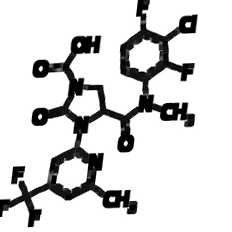 Cc1cc(C(F)(F)F)cc(N2C(=O)N(C(=O)O)CC2C(=O)N(C)c2ccc(F)c(Cl)c2F)n1